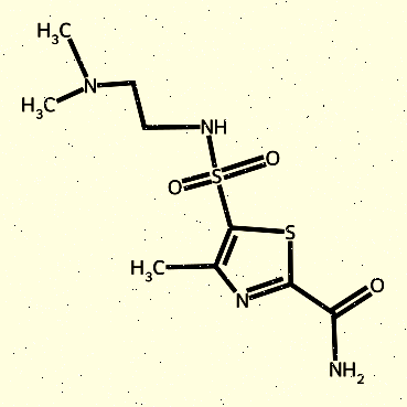 Cc1nc(C(N)=O)sc1S(=O)(=O)NCCN(C)C